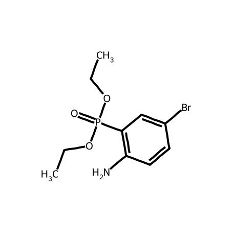 CCOP(=O)(OCC)c1cc(Br)ccc1N